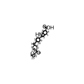 O=C(O)c1ccc2cc(-c3ccc(C4CC45CCN(C(=O)C4CCCO4)CC5)cc3)[nH]c2c1